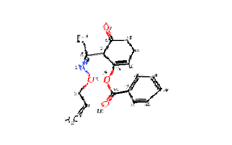 C=CCO/N=C(/CC)C1C(=O)CCC=C1OC(=O)c1ccccc1